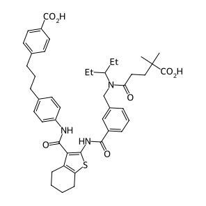 CCC(CC)N(Cc1cccc(C(=O)Nc2sc3c(c2C(=O)Nc2ccc(CCCc4ccc(C(=O)O)cc4)cc2)CCCC3)c1)C(=O)CCC(C)(C)C(=O)O